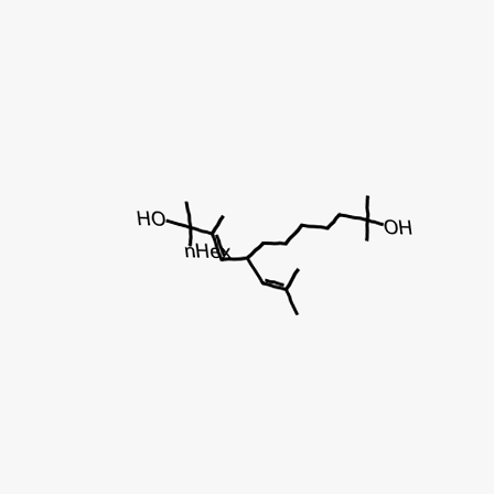 CCCCCCC(C)(O)C(C)=CC(C=C(C)C)CCCCCC(C)(C)O